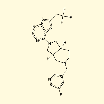 Fc1cncc(CN2CC[C@@H]3CN(c4ncnc5sc(CC(F)(F)F)cc45)C[C@@H]3C2)c1